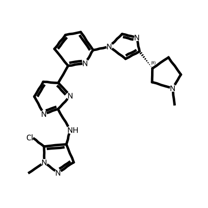 CN1CC[C@@H](c2cn(-c3cccc(-c4ccnc(Nc5cnn(C)c5Cl)n4)n3)cn2)C1